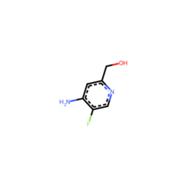 Nc1cc(CO)ncc1F